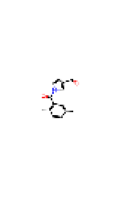 Cc1ccc(C)c(C(=O)n2ccc(C=O)c2)c1